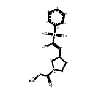 CC(C)(C)OC(=O)N1CCC(/C=C(\F)S(=O)(=O)c2ccccc2)C1